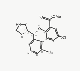 COC(=O)c1cc(Cl)ccc1O[C@H](c1cncc(Cl)c1)[C@@H]1CCNC1